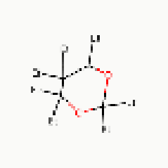 CCC1OC(CC)(CC)OC(CC)(CC)C1(CC)CC